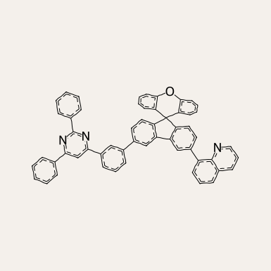 c1ccc(-c2cc(-c3cccc(-c4ccc5c(c4)-c4cc(-c6cccc7cccnc67)ccc4C54c5ccccc5Oc5ccccc54)c3)nc(-c3ccccc3)n2)cc1